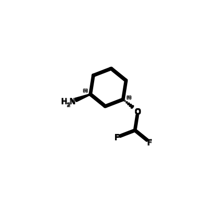 N[C@H]1CCC[C@H](OC(F)F)C1